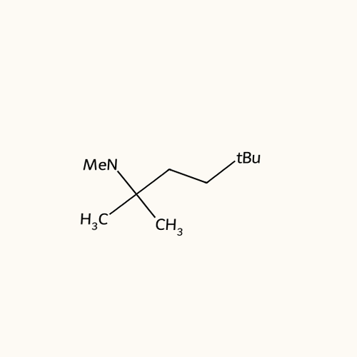 CNC(C)(C)CCC(C)(C)C